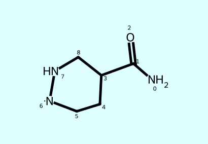 NC(=O)C1CC[N]NC1